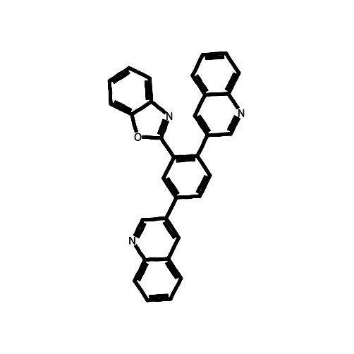 c1ccc2ncc(-c3ccc(-c4cnc5ccccc5c4)c(-c4nc5ccccc5o4)c3)cc2c1